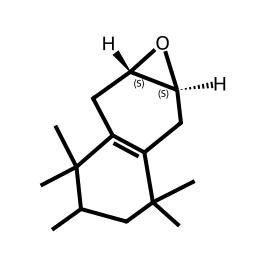 CC1CC(C)(C)C2=C(C[C@@H]3O[C@H]3C2)C1(C)C